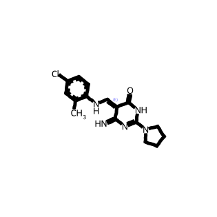 Cc1cc(Cl)ccc1N/C=C1\C(=N)N=C(N2CCCC2)NC1=O